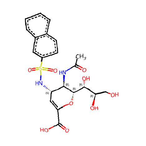 CC(=O)N[C@H]1[C@H]([C@H](O)[C@H](O)CO)OC(C(=O)O)=C[C@@H]1NS(=O)(=O)c1ccc2ccccc2c1